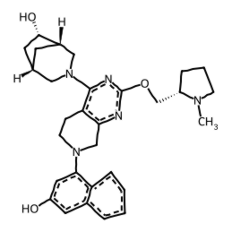 CN1CCC[C@H]1COc1nc2c(c(N3C[C@H]4C[C@@H](C3)[C@@H](O)C4)n1)CCN(c1cc(O)cc3ccccc13)C2